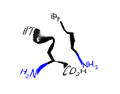 CC(C)CCN.CC(C)C[C@H](N)C(=O)O